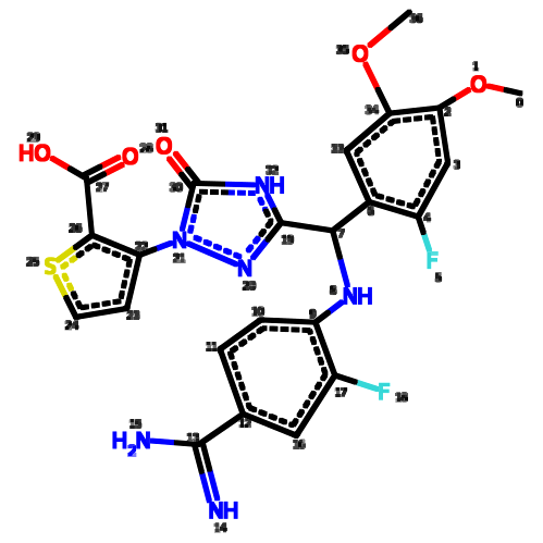 COc1cc(F)c(C(Nc2ccc(C(=N)N)cc2F)c2nn(-c3ccsc3C(=O)O)c(=O)[nH]2)cc1OC